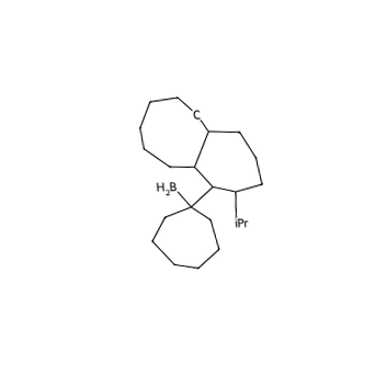 BC1(C2C(C(C)C)CCCC3CCCCCCC32)CCCCCC1